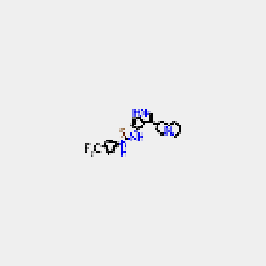 FC(F)(F)c1ccc(NC(=S)Nc2ccc3[nH]cc(C4CCN5CCCCC5C4)c3c2)cc1